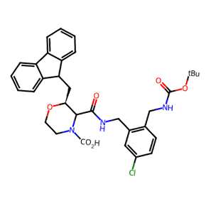 CC(C)(C)OC(=O)NCc1ccc(Cl)cc1CNC(=O)C1[C@H](CC2c3ccccc3-c3ccccc32)OCCN1C(=O)O